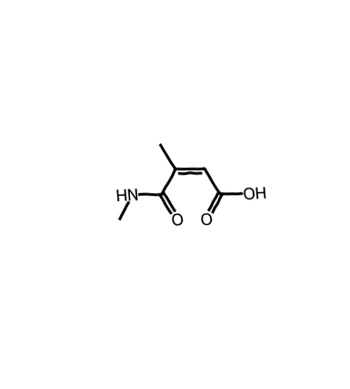 CNC(=O)/C(C)=C\C(=O)O